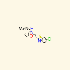 CNCC(NC(=O)CCc1nc2ccc(Cl)cc2s1)C1CCCC1